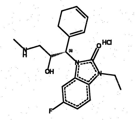 CCn1c(=O)n([C@@H](C2=CC=CCC2)C(O)CNC)c2cc(F)ccc21.Cl